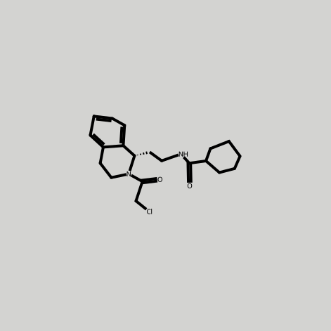 O=C(NCC[C@H]1c2ccccc2CCN1C(=O)CCl)C1CCCCC1